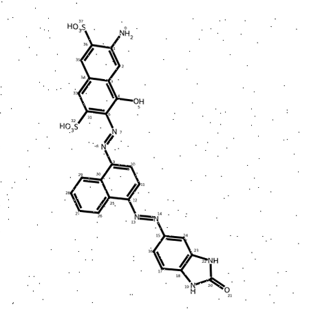 Nc1cc2c(O)c(N=Nc3ccc(N=Nc4ccc5[nH]c(=O)[nH]c5c4)c4ccccc34)c(S(=O)(=O)O)cc2cc1S(=O)(=O)O